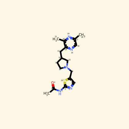 CC(=O)Nc1ncc(CN2CCC(Cc3ncc(C)nc3C)C2)s1